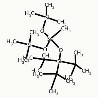 CC(C)(C)[Si](O[Si](C)(O[Si](C)(C)C)O[Si](C)(C)C)(C(C)(C)C)C(C)(C)C